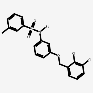 CCN(c1cccc(OCc2cccc(Cl)c2Cl)c1)S(=O)(=O)c1cccc(C)c1